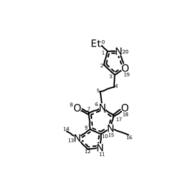 CCc1cc(CCn2c(=O)c3c(ncn3C)n(C)c2=O)on1